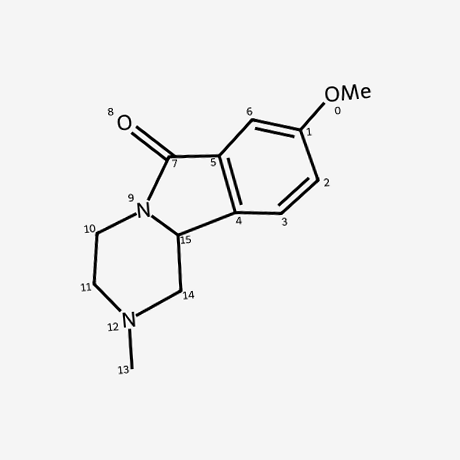 COc1ccc2c(c1)C(=O)N1CCN(C)CC21